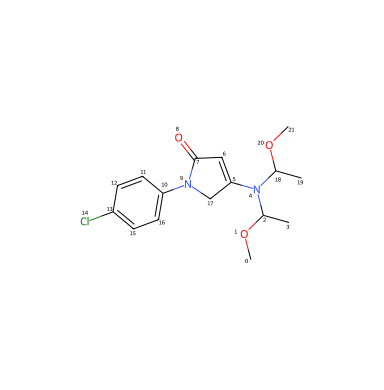 COC(C)N(C1=CC(=O)N(c2ccc(Cl)cc2)C1)C(C)OC